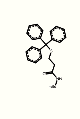 CCCCNC(=O)CCSC(c1ccccc1)(c1ccccc1)c1ccccc1